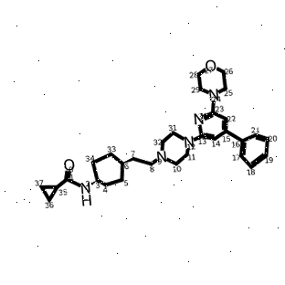 O=C(N[C@H]1CC[C@H](CCN2CCN(c3cc(-c4ccccc4)cc(N4CCOCC4)n3)CC2)CC1)C1CC1